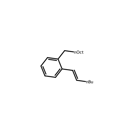 CCCC/C=C/c1ccccc1CCCCCCCCC